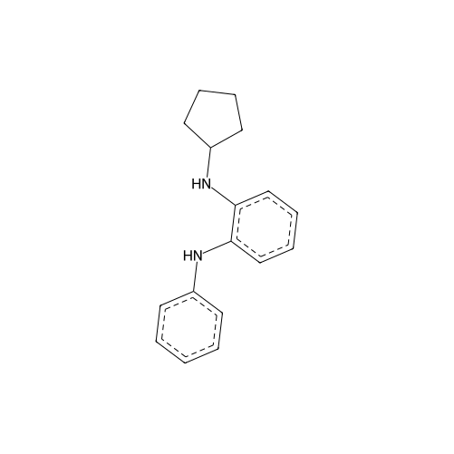 c1ccc(Nc2ccccc2NC2CCCC2)cc1